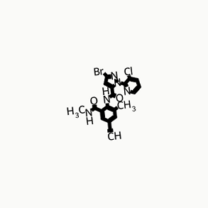 C#Cc1cc(C)c(NC(=O)c2cc(Br)nn2-c2ncccc2Cl)c(C(=O)NC)c1